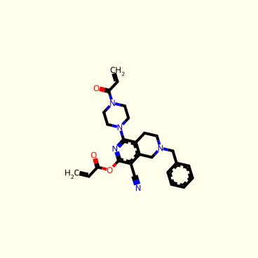 C=CC(=O)Oc1nc(N2CCN(C(=O)C=C)CC2)c2c(c1C#N)CN(Cc1ccccc1)CC2